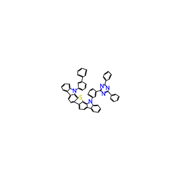 c1ccc(-c2cccc(-n3c4ccccc4c4ccc5c6ccc7c8ccccc8n(-c8cccc(-c9nc(-c%10ccccc%10)nc(-c%10ccccc%10)n9)c8)c7c6sc5c43)c2)cc1